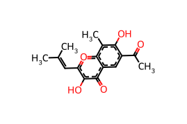 CC(=O)c1cc2c(=O)c(O)c(C=C(C)C)oc2c(C)c1O